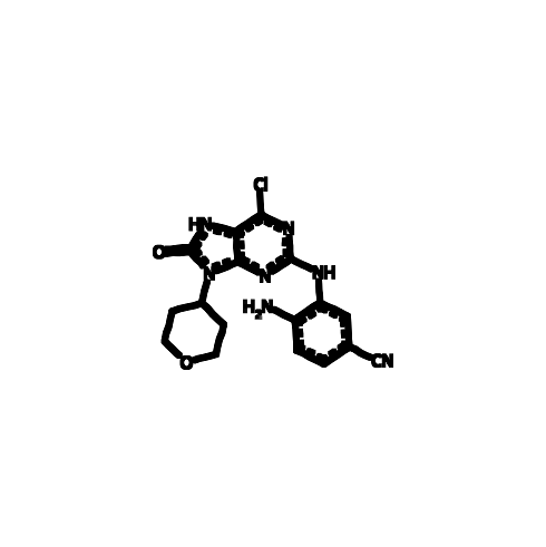 N#Cc1ccc(N)c(Nc2nc(Cl)c3[nH]c(=O)n(C4CCOCC4)c3n2)c1